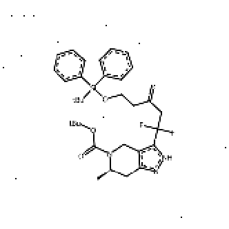 C=C(CCO[Si](c1ccccc1)(c1ccccc1)C(C)(C)C)CC(F)(F)c1[nH]nc2c1CN(C(=O)OC(C)(C)C)[C@H](C)C2